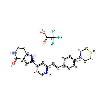 O=C(O)C(F)(F)F.O=C1NCCc2[nH]c(-c3ccnc(/C=C/c4ccc(N5CCSCC5)cc4)c3)cc21